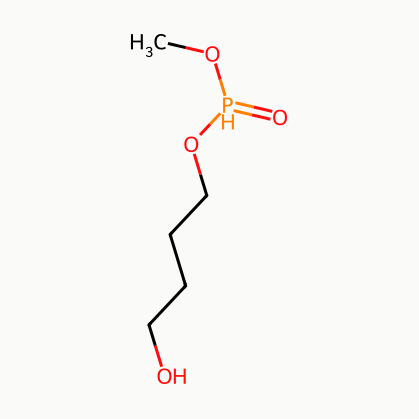 CO[PH](=O)OCCCCO